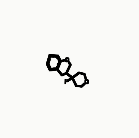 FC1(C2COc3ccccc3C2)CCOCC1